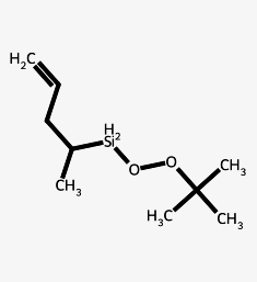 C=CCC(C)[SiH2]OOC(C)(C)C